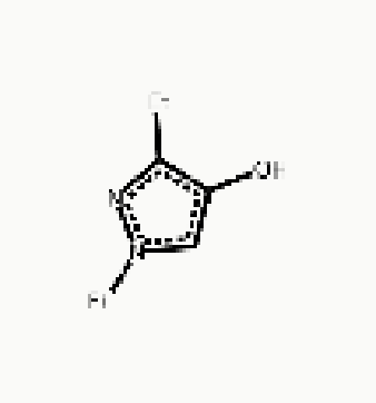 CCc1nn(CC)cc1O